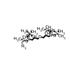 C[Si](C)(C)O[SiH](CCCOCCC[SiH](O[Si](C)(C)C)O[Si](C)(C)C)O[Si](C)(C)C